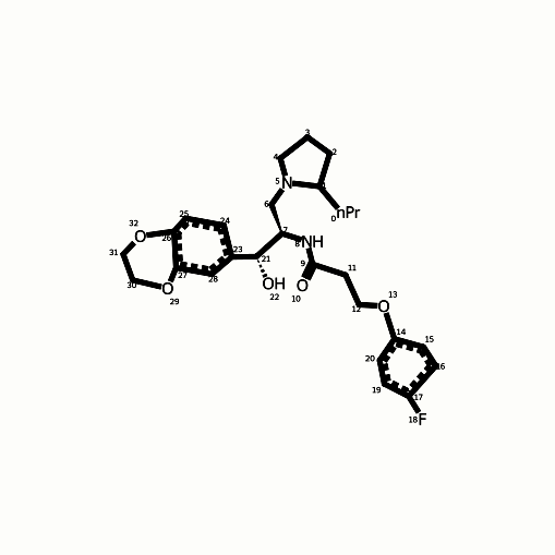 CCCC1CCCN1C[C@@H](NC(=O)CCOc1ccc(F)cc1)[C@H](O)c1ccc2c(c1)OCCO2